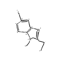 CCc1nc2cc(I)ccc2n1C